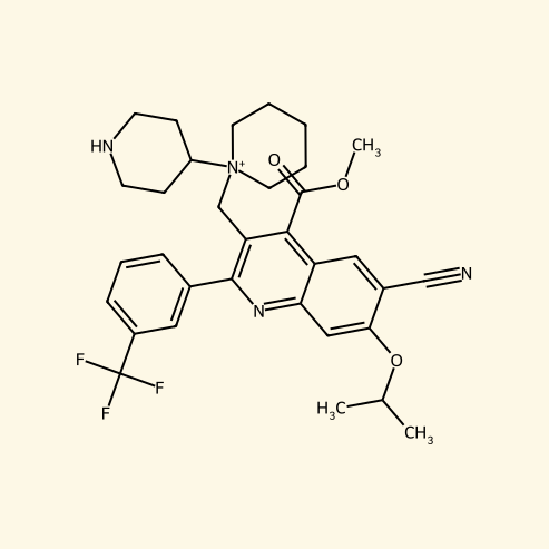 COC(=O)c1c(C[N+]2(C3CCNCC3)CCCCC2)c(-c2cccc(C(F)(F)F)c2)nc2cc(OC(C)C)c(C#N)cc12